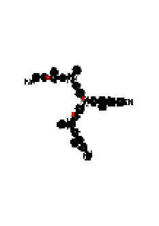 N#Cc1ccc(-c2ccc(-c3ccc(-c4ccc(-c5nc(-c6ccc(-c7ccc(-c8nc(-c9ccccc9)nc(-c9ccc(-c%10ccc(-c%11ccc(-c%12cccc(C#N)c%12)cc%11)c%11ccccc%10%11)cc9)n8)cc7)cc6)nc(-c6ccc(-c7ccc(-c8nc(-c9ccccc9)nc(-c9ccc(-c%10ccc(-c%11ccc(-c%12ncccn%12)cc%11)c%11ccccc%10%11)cc9)n8)cc7)cc6)n5)cc4)c4ccccc34)cc2)cc1